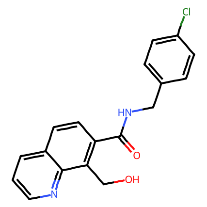 O=C(NCc1ccc(Cl)cc1)c1ccc2cccnc2c1CO